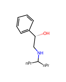 CCCC(CCC)NC[C@@H](O)c1ccccc1